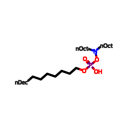 CCCCCCCCCCCCCCCCCOP(=O)(O)ON(CCCCCCCC)CCCCCCCC